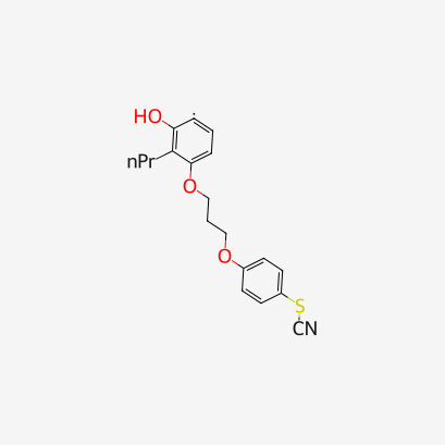 CCCc1c(O)[c]ccc1OCCCOc1ccc(SC#N)cc1